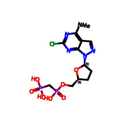 CNc1nc(Cl)nc2c1cnn2[C@H]1CC[C@@H](COP(=O)(O)CP(=O)(O)O)O1